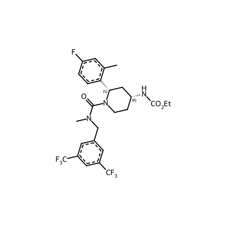 CCOC(=O)N[C@@H]1CCN(C(=O)N(C)Cc2cc(C(F)(F)F)cc(C(F)(F)F)c2)[C@H](c2ccc(F)cc2C)C1